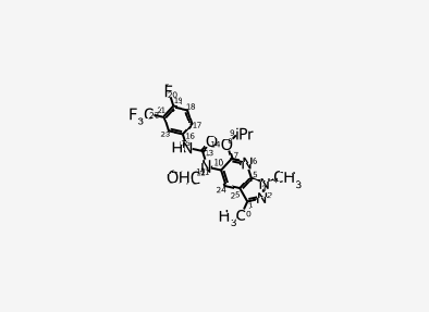 Cc1nn(C)c2nc(OC(C)C)c(N(C=O)C(=O)Nc3ccc(F)c(C(F)(F)F)c3)cc12